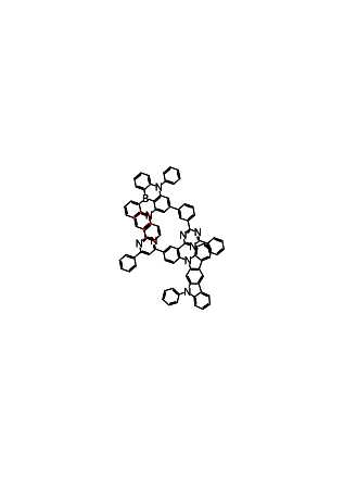 c1ccc(-c2cc(-c3ccc(-n4c5ccccc5c5cc6c7ccccc7n(-c7ccccc7)c6cc54)c(-c4nc(-c5ccccc5)nc(-c5cccc(-c6cc7c8c(c6)N(c6ccccc6)c6ccccc6B8c6ccccc6N7c6ccccc6)c5)n4)c3)nc(-c3ccccc3)n2)cc1